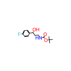 CC(C)(C)OC(=O)NCCC(O)c1ccc(F)cc1